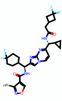 CCCc1nocc1C(=O)N[C@H](c1cn2ccc([C@H](NC(=O)CC3CC(F)(F)C3)C3CC3)nc2n1)C1CCC(F)(F)CC1